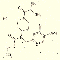 COc1coc(CN(C(=O)OCC(Cl)(Cl)Cl)C2CCN(C(=O)C(N)C(C)(C)C)CC2)cc1=O.Cl